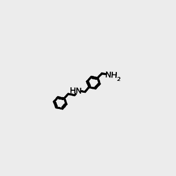 NCc1ccc(CNCCc2ccccc2)cc1